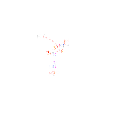 COCCOCCOCCOCCOCC[N+]1=C(/C=C/C=C/C=C/C=C2/N(CCCCCC(=O)NCCNC(=O)c3ccc(C(=O)OC)c(P(c4ccccc4)c4ccccc4)c3)c3ccc(S(=O)(=O)[O-])cc3C2(C)CCCS(=O)(=O)O)C(C)(CCCS(=O)(=O)O)c2cc(S(=O)(=O)O)ccc21